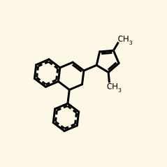 CC1=CC(C2=Cc3ccccc3C(c3ccccc3)C2)C(C)=C1